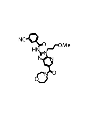 COCCCn1c(NC(=O)c2cccc(C#N)c2)nc2cc(C(=O)N3CCCOCC3)cnc21